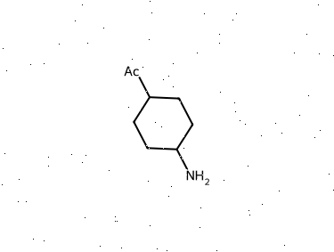 [CH2]C(=O)C1CCC(N)CC1